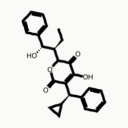 CC[C@@H](C1OC(=O)C([C@@H](c2ccccc2)C2CC2)=C(O)C1=O)[C@H](O)c1ccccc1